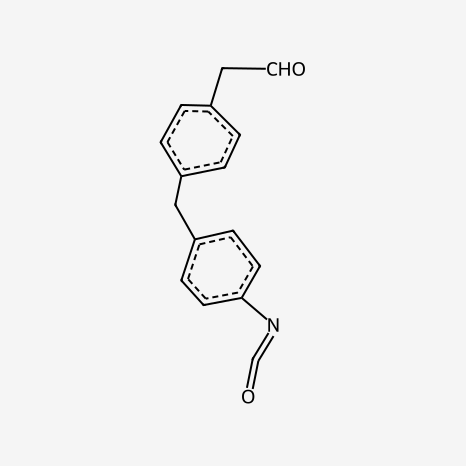 O=C=Nc1ccc(Cc2ccc(CC=O)cc2)cc1